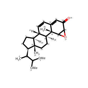 COC(OC)C(C)[C@H]1CC[C@H]2[C@@H]3C=CC4=CC(=O)C5OC5[C@]4(C)[C@H]3CC[C@]12C